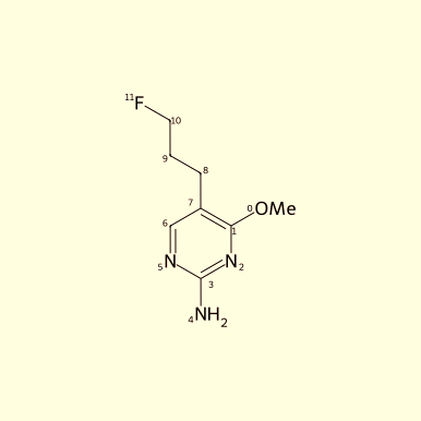 COc1nc(N)ncc1CCCF